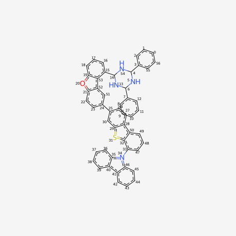 c1ccc(C2NC(c3ccccc3)NC(c3cccc4oc5ccc(-c6ccc7c(c6)sc6c(-n8c9ccccc9c9ccccc98)cccc67)cc5c34)N2)cc1